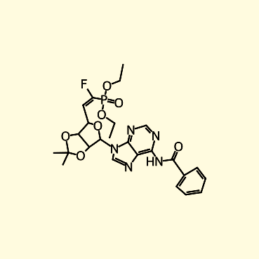 CCOP(=O)(OCC)C(F)=CC1OC(n2cnc3c(NC(=O)c4ccccc4)ncnc32)C2OC(C)(C)OC12